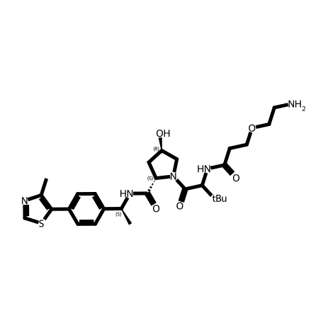 Cc1ncsc1-c1ccc([C@H](C)NC(=O)[C@@H]2C[C@@H](O)CN2C(=O)C(NC(=O)CCOCCN)C(C)(C)C)cc1